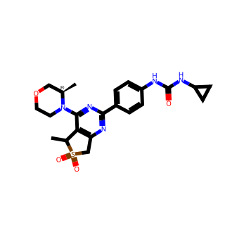 CC1c2c(nc(-c3ccc(NC(=O)NC4CC4)cc3)nc2N2CCOC[C@H]2C)CS1(=O)=O